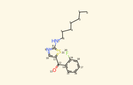 CCCCCC[CH]Nc1ncc(C(=O)c2ccccc2F)s1